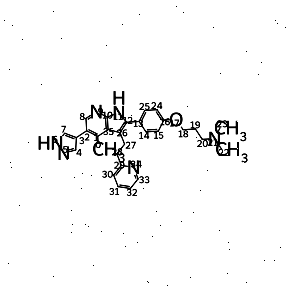 Cc1c(-c2cn[nH]c2)cnc2[nH]c(-c3ccc(OCCCN(C)C)cc3)c(CCc3ccccn3)c12